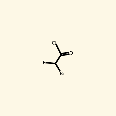 O=C(Cl)C(F)Br